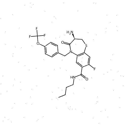 CCCCNC(=O)c1cc2c(cc1F)SC[C@H](N)C(=O)N2Cc1ccc(OC(F)(F)F)cc1